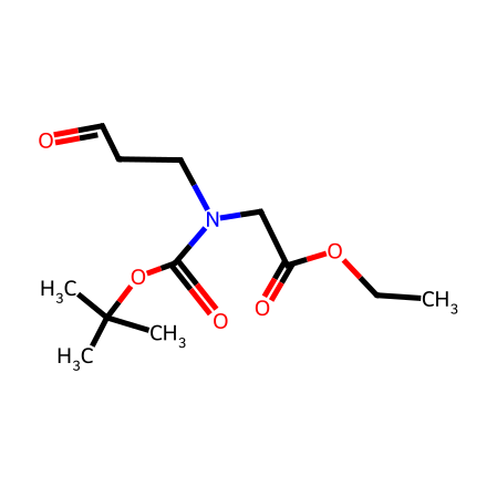 CCOC(=O)CN(CCC=O)C(=O)OC(C)(C)C